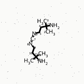 CC(C)(N)CCN=C=NCCC(C)(C)N